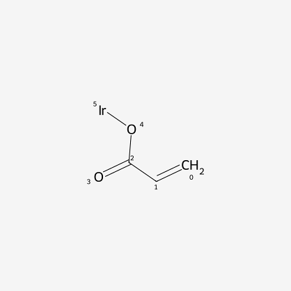 C=CC(=O)[O][Ir]